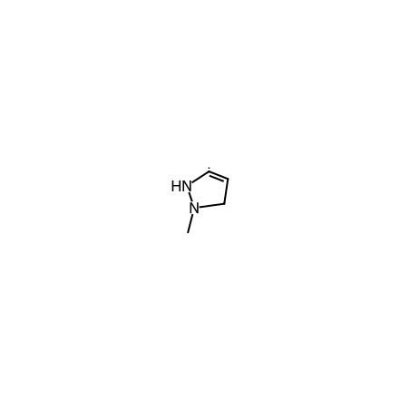 CN1CC=[C]N1